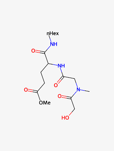 CCCCCCNC(=O)C(CCC(=O)OC)NC(=O)CN(C)C(=O)CO